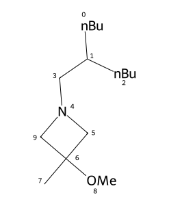 CCCCC(CCCC)CN1CC(C)(OC)C1